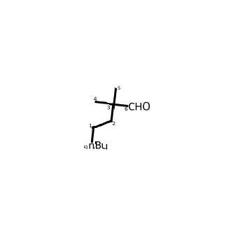 CCCCCCC(C)(C)C=O